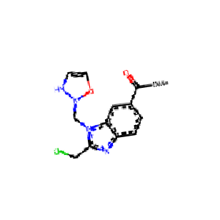 COC(=O)c1ccc2nc(CCl)n(CN3NC=CO3)c2c1